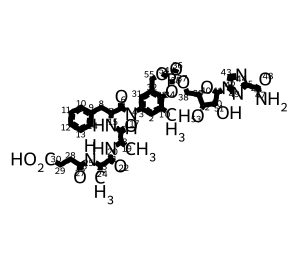 Cc1cc(NC(=O)C(Cc2ccccc2)NC(=O)C(C)NC(=O)C(C)NC(=O)CCC(=O)O)cc2c1OP(=O)(OCC1OC(n3cnc(C(N)=O)n3)C(O)C1O)OC2